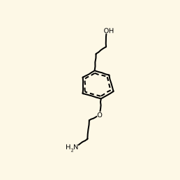 NCCOc1ccc(CCO)cc1